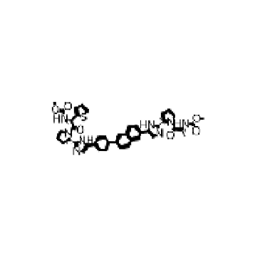 COC(=O)N[C@@H](C)C(=O)N1CCC[C@H]1c1ncc(-c2ccc3cc(-c4ccc(-c5cnc([C@@H]6CCCN6C(=O)[C@H](NC(=O)OC)c6cccs6)[nH]5)cc4)ccc3c2)[nH]1